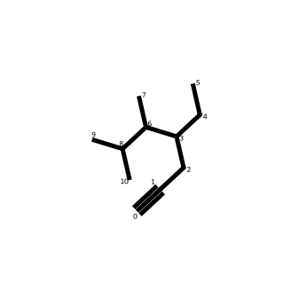 C#CCC(CC)C(C)C(C)C